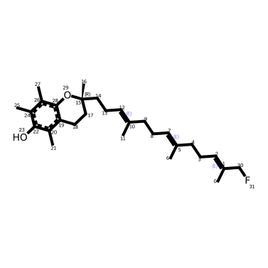 C/C(=C\CC/C(C)=C/CC/C(C)=C/CC[C@]1(C)CCc2c(C)c(O)c(C)c(C)c2O1)CF